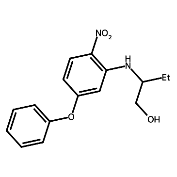 CCC(CO)Nc1cc(Oc2ccccc2)ccc1[N+](=O)[O-]